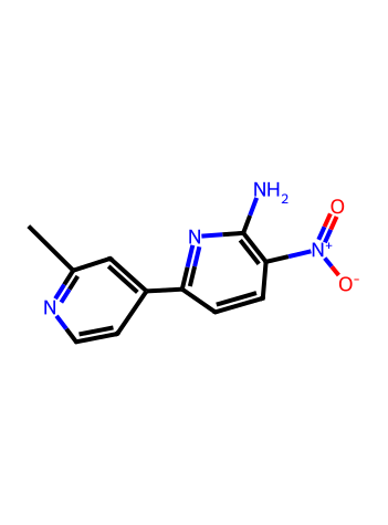 Cc1cc(-c2ccc([N+](=O)[O-])c(N)n2)ccn1